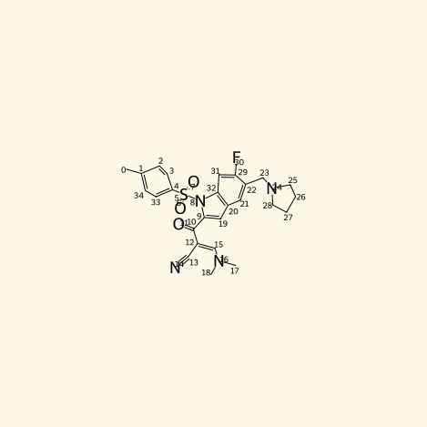 Cc1ccc(S(=O)(=O)n2c(C(=O)C(C#N)=CN(C)C)cc3cc(CN4CCCC4)c(F)cc32)cc1